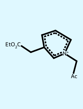 CCOC(=O)Cc1ccc[n+](CC(C)=O)c1